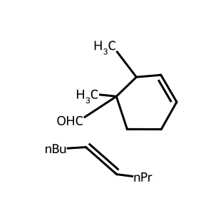 CC1C=CCCC1(C)C=O.[CH2]CC/C=C/CCCC